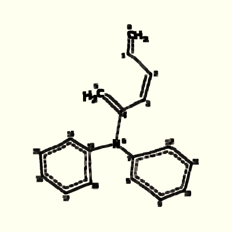 C=C/C=C\C(=C)N(c1ccccc1)c1ccccc1